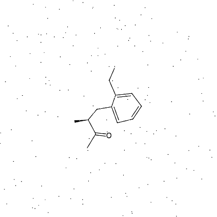 CCc1ccccc1C[C@H](C)C(C)=O